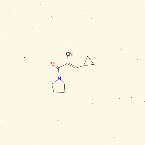 N#CC(=CC1CC1)C(=O)N1C[CH]CC1